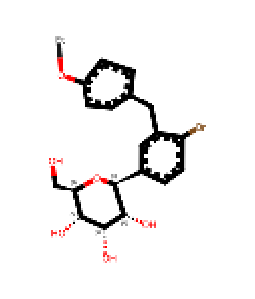 CCOc1ccc(Cc2cc([C@@H]3O[C@H](CO)[C@@H](O)[C@@H](O)[C@H]3O)ccc2Br)cc1